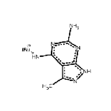 CC[C@@H](C)Nc1nc(N)nc2[nH]nc(C)c12